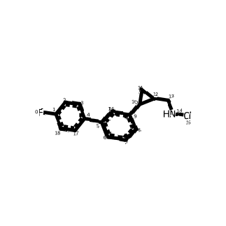 Fc1ccc(-c2cccc(C3CC3CNCl)c2)cc1